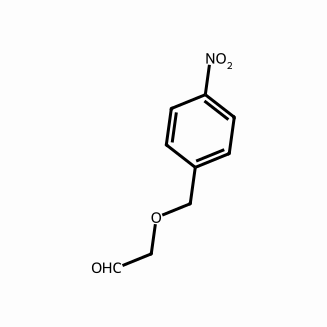 O=CCOCc1ccc([N+](=O)[O-])cc1